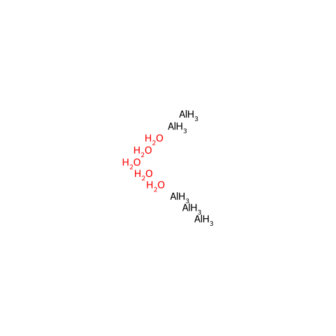 O.O.O.O.O.[AlH3].[AlH3].[AlH3].[AlH3].[AlH3]